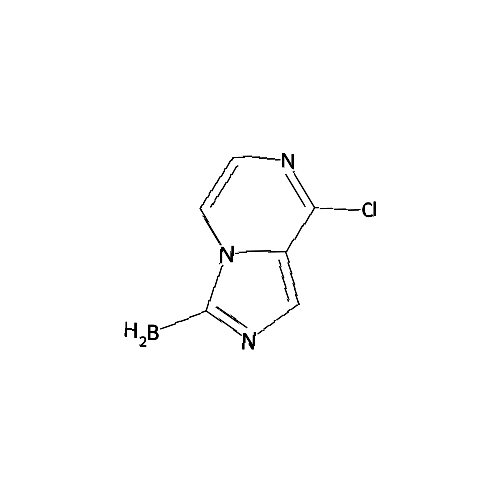 Bc1ncc2c(Cl)nccn12